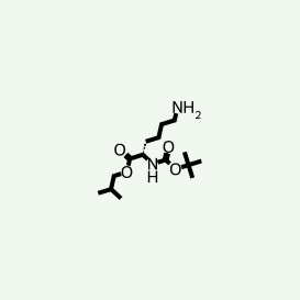 CC(C)COC(=O)[C@H](CCCCN)NC(=O)OC(C)(C)C